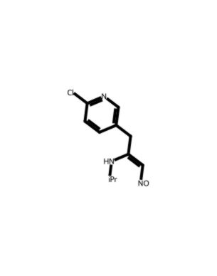 CC(C)N/C(=C\N=O)Cc1ccc(Cl)nc1